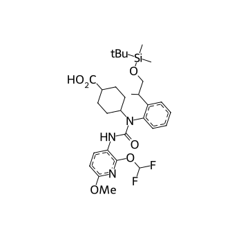 COc1ccc(NC(=O)N(c2ccccc2C(C)CO[Si](C)(C)C(C)(C)C)C2CCC(C(=O)O)CC2)c(OC(F)F)n1